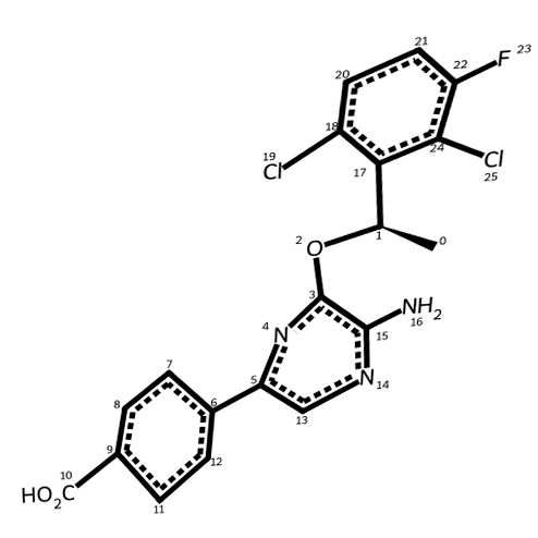 C[C@@H](Oc1nc(-c2ccc(C(=O)O)cc2)cnc1N)c1c(Cl)ccc(F)c1Cl